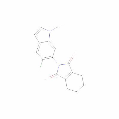 CCCn1ccc2cc(F)c(N3C(=O)C4=C(CCCC4)C3=O)cc21